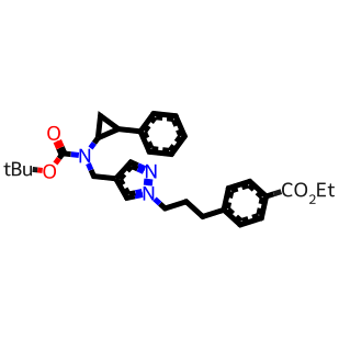 CCOC(=O)c1ccc(CCCn2cc(CN(C(=O)OC(C)(C)C)C3CC3c3ccccc3)cn2)cc1